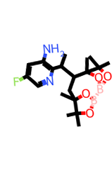 CC(c1ncc(F)cc1N)C1CC2(C)OB(OC2(C)C)B2OC(C)(C)C1(C)O2